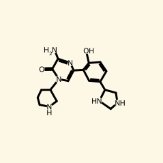 Nc1nc(-c2cc(C3CNCN3)ccc2O)cn(C2CCCNC2)c1=O